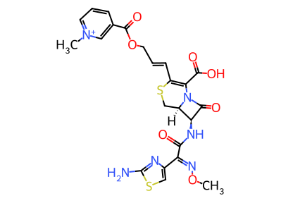 CON=C(C(=O)N[C@@H]1C(=O)N2C(C(=O)O)=C(/C=C/COC(=O)c3ccc[n+](C)c3)SC[C@H]12)c1csc(N)n1